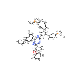 CP(C)c1cccc(-c2cc(-c3cccc(P(C)C)c3)cc(-c3nc(-c4cccc(-c5ccccc5)c4)nc(-c4ccc5c(c4)oc4ccccc45)n3)c2)c1